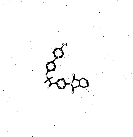 CC(C)(Oc1ccc(-c2ccc(O)cc2)cc1)C(=O)c1ccc(N2C(=O)C3CC=CCC3C2=O)cc1